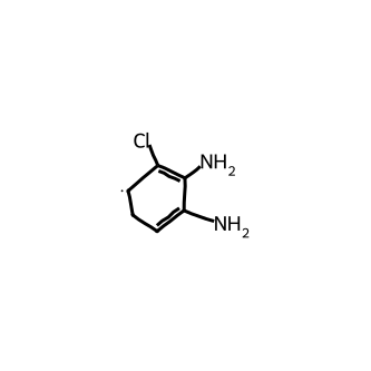 NC1=CC[CH]C(Cl)=C1N